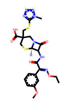 CCON=C(C(=O)NC1C(=O)N2CC(CSc3nnnn3C)(C(=O)O)CS[C@H]12)c1cccc(OC)c1